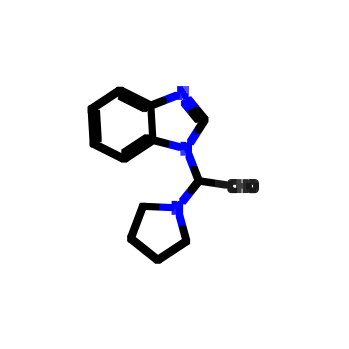 O=CC(N1CCCC1)n1cnc2ccccc21